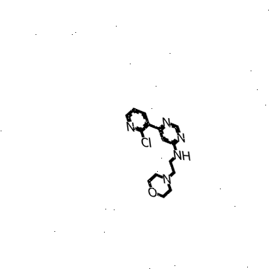 Clc1ncccc1-c1cc(NCCN2CCOCC2)ncn1